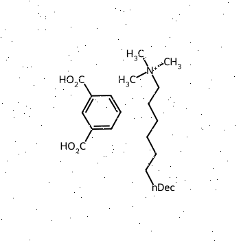 CCCCCCCCCCCCCCCC[N+](C)(C)C.O=C(O)c1cccc(C(=O)O)c1